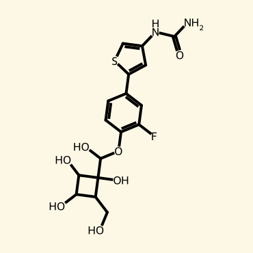 NC(=O)Nc1csc(-c2ccc(OC(O)C3(O)C(O)C(O)C3CO)c(F)c2)c1